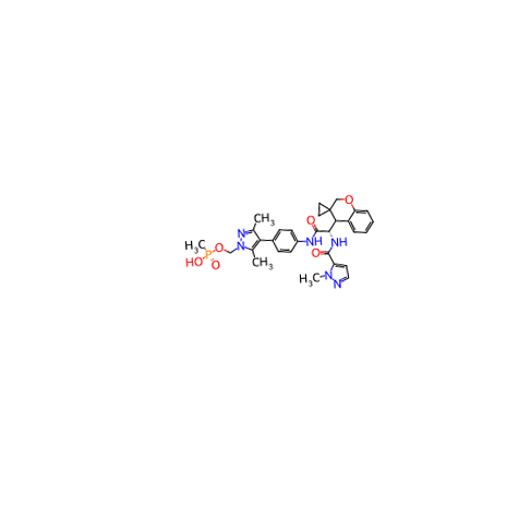 Cc1nn(COP(C)(=O)O)c(C)c1-c1ccc(NC(=O)[C@@H](NC(=O)c2ccnn2C)C2c3ccccc3OCC23CC3)cc1